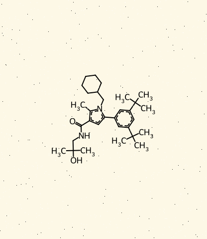 Cc1c(C(=O)NCC(C)(C)O)cc(-c2cc(C(C)(C)C)cc(C(C)(C)C)c2)n1CC1CCCCC1